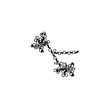 C#CCOCCOCCOCCOCCC(=O)N(CCOCCCNC(=O)CO[C@@H]([C@@H]1OC(C(=O)OC)=C[C@H](N=C(NC(=O)OC(C)(C)C)NC(=O)OC(C)(C)C)[C@H]1NC(C)=O)[C@H]1COCOCO1)CCOCCCNC(=O)CO[C@@H]([C@@H]1OC(C(=O)OC)=C[C@H](N=C(NC(=O)OC(C)(C)C)NC(=O)OC(C)(C)C)[C@H]1NC(C)=O)[C@H]1COC(=O)O1